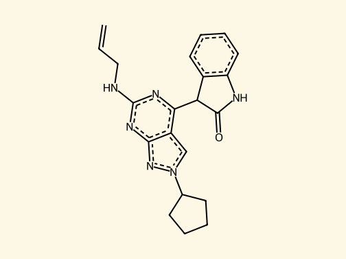 C=CCNc1nc(C2C(=O)Nc3ccccc32)c2cn(C3CCCC3)nc2n1